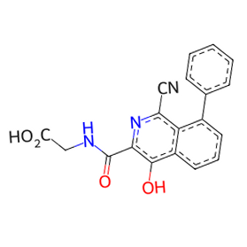 N#Cc1nc(C(=O)NCC(=O)O)c(O)c2cccc(-c3ccccc3)c12